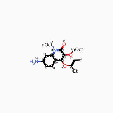 CC=C(CC)Oc1c(OCCCCCCCC)c(=O)n(CCCCCCCC)c2cc(N)ccc12